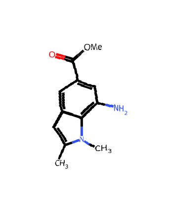 COC(=O)c1cc(N)c2c(c1)cc(C)n2C